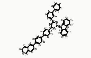 c1ccc(-c2cccc(-c3nc(-c4ccc(-c5ccc(-c6ccc7ccccc7c6)cc5)cc4)nc(-n4c5ccccc5c5ccccc54)n3)c2)cc1